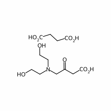 O=C(O)CC(=O)CN(CCO)CCO.O=C(O)CCC(=O)O